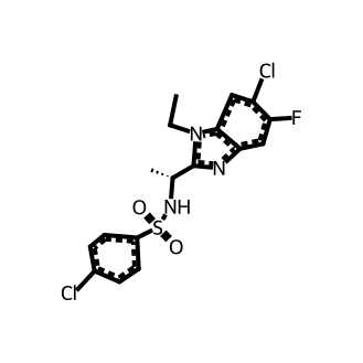 CCn1c([C@@H](C)NS(=O)(=O)c2ccc(Cl)cc2)nc2cc(F)c(Cl)cc21